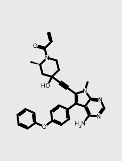 C=CC(=O)N1CCC(O)(C#Cc2c(-c3ccc(Oc4ccccc4)cc3)c3c(N)ncnc3n2C)C[C@H]1C